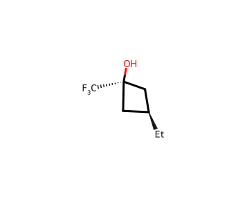 CC[C@H]1C[C@](O)(C(F)(F)F)C1